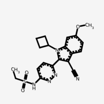 CCS(=O)(=O)Nc1ccc(-c2c(C#N)c3ccc(OC)cc3n2C2CCC2)nn1